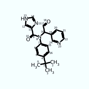 CC(C)(C)c1ccc(N(C(=O)c2c[nH]cn2)C(C=O)c2cccnc2)cc1